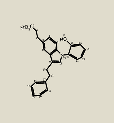 CCOC(=O)CCc1ccc2c(c1)c(CCc1ccccc1)cn2-c1ccccc1O